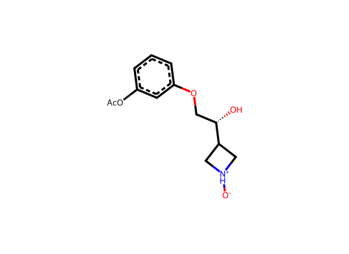 CC(=O)Oc1cccc(OC[C@H](O)C2C[NH+]([O-])C2)c1